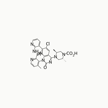 Cc1ccnc(C(C)C)c1-n1c(=O)nc(N2C[C@@H](C)N(C(=O)O)C[C@@H]2C)c2cc(Cl)c(-c3cccnc3N)nc21